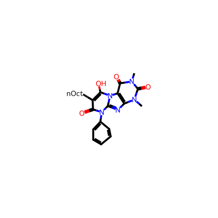 CCCCCCCCc1c(O)n2c3c(=O)n(C)c(=O)n(C)c3nc2n(-c2ccccc2)c1=O